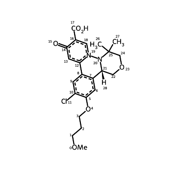 COCCCOc1cc2c(cc1Cl)-c1cc(=O)c(C(=O)O)cn1N1[C@@H]2COCC1(C)C